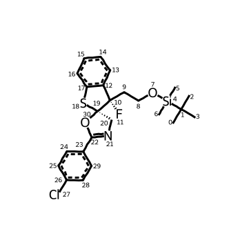 CC(C)(C)[Si](C)(C)OCC[C@]1(F)c2ccccc2S[C@@]12CN=C(c1ccc(Cl)cc1)O2